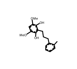 COc1cc(OC)c(O)c(CCCc2ccccc2C)c1O